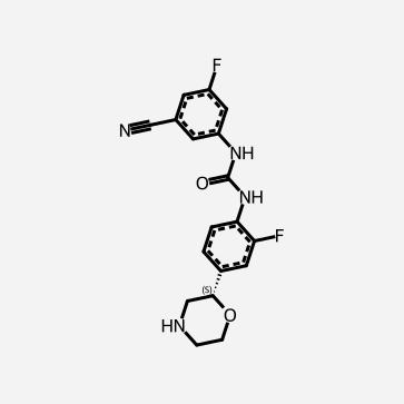 N#Cc1cc(F)cc(NC(=O)Nc2ccc([C@H]3CNCCO3)cc2F)c1